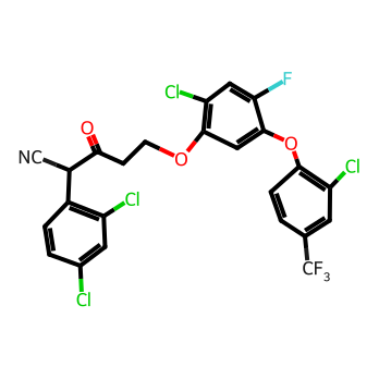 N#CC(C(=O)CCOc1cc(Oc2ccc(C(F)(F)F)cc2Cl)c(F)cc1Cl)c1ccc(Cl)cc1Cl